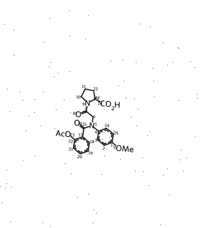 COc1ccc(N(CC(=O)N2CCC[C@H]2C(=O)O)C(=O)c2ccccc2OC(C)=O)cc1